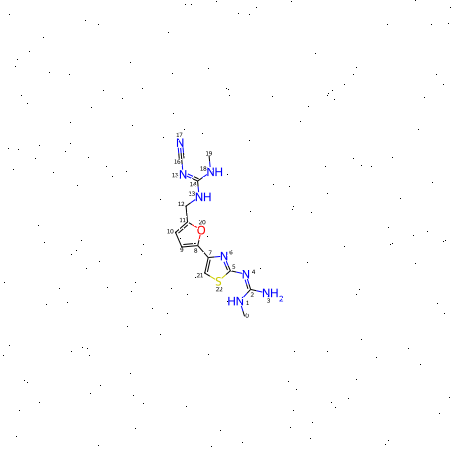 CNC(N)=Nc1nc(-c2ccc(CNC(=NC#N)NC)o2)cs1